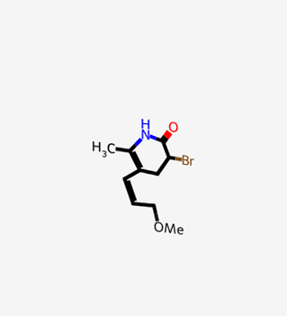 COC/C=C\C1=C(C)NC(=O)C(Br)C1